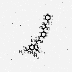 CCC(Oc1ccc(C(C)(C)CC)cc1C(C)(C)CC)C(=O)Nc1cccc(C(=O)C(Cl)C(=O)Nc2ccccc2)c1